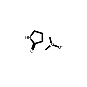 C[S+](C)[O-].O=C1CCCN1